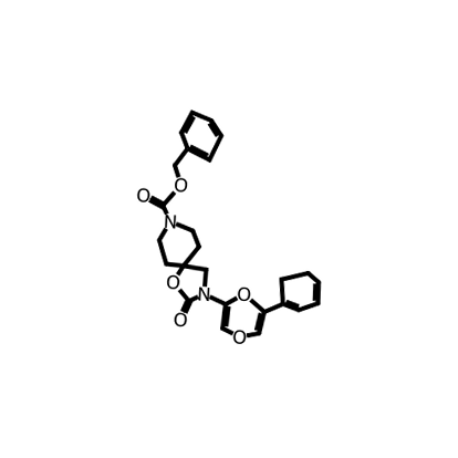 O=C(OCc1ccccc1)N1CCC2(CC1)CN(C1=COC=C(C3=CC=CCC3)O1)C(=O)O2